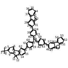 CC(C)(C)c1ccc2c(c1)C(C)(C)c1ccc(-c3ccc(N(c4ccc(-c5ccc6c(c5)sc5ccccc56)cc4)c4ccc(-c5ccc6oc7ccccc7c6c5)cc4)cc3)cc1-2